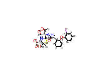 CC(=O)C1(NC(=O)Cc2ccccc2Oc2ccccc2I)C(=O)N2[C@@H](C(=O)O)C(C)(C)S[C@@H]21